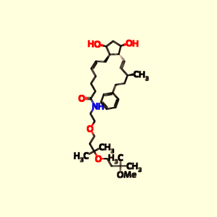 COC(C)(C)CCOC(C)(C)CCOCCNC(=O)CCC/C=C\C[C@@H]1[C@@H](/C=C/[C@@H](C)CCc2ccccc2)[C@H](O)C[C@@H]1O